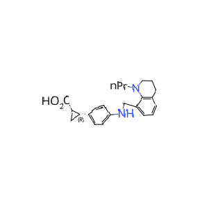 CCCN1CCCc2cccc(CNc3ccc([C@@H]4CC4C(=O)O)cc3)c21